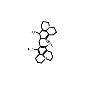 CC1=C2CCCN3CCCC(=C23)C(C)C1Cc1c(C)c2c3c(c1C)CCCN3CCC2